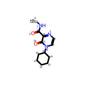 CC(C)(C)NC(=O)c1nccn(C2CCCCC2)c1=O